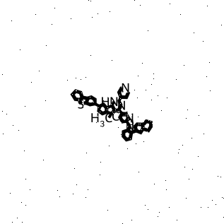 CC1(C)C2=C(NC(c3ccncc3)N=C2c2ccc(-n3c4ccccc4c4cc5ccccc5cc43)nc2)c2cc(-c3ccc4c(c3)sc3ccccc34)ccc21